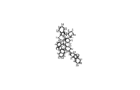 c1c(-c2ccccc2-n2c3c(c4ccccc42)C=CCC3)ccc(N(c2ccc(-c3ccc4c(c3)oc3ccccc34)cc2)c2cccc3oc4c5ccccc5ccc4c23)c#1